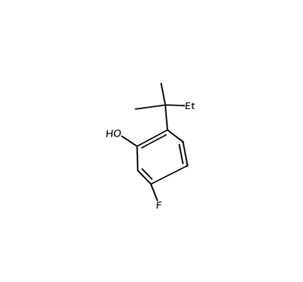 CCC(C)(C)c1ccc(F)cc1O